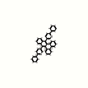 c1ccc(-c2ccc(-c3c4ccccc4c(-c4ccc(-c5ccccc5)nc4)c4c5ccccc5c5ccccc5c34)cn2)cc1